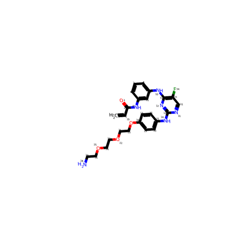 C=CC(=O)Nc1cccc(Nc2nc(Nc3ccc(OCCOCCOCCN)cc3)ncc2F)c1